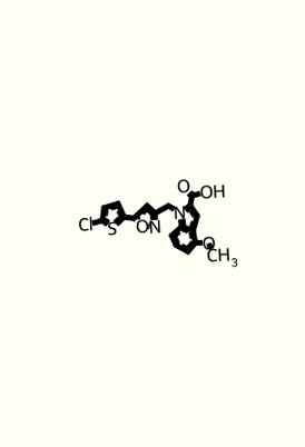 COc1cccc2c1cc(C(=O)O)n2Cc1cc(-c2ccc(Cl)s2)on1